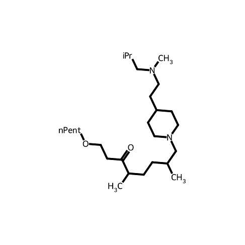 CCCCCOCCC(=O)C(C)CCC(C)CN1CCC(CCN(C)CC(C)C)CC1